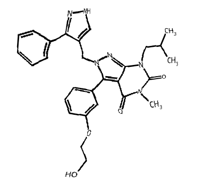 CC(C)Cn1c(=O)n(C)c(=O)c2c(-c3cccc(OCCO)c3)n(Cc3c[nH]nc3-c3ccccc3)nc21